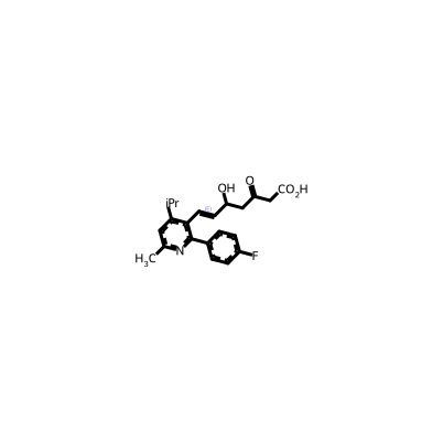 Cc1cc(C(C)C)c(/C=C/C(O)CC(=O)CC(=O)O)c(-c2ccc(F)cc2)n1